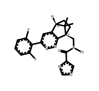 CCN(C[C@@]12CC[C@@H](c3cc(-c4c(F)cccc4F)nnc31)C2(C)C)C(=O)c1cocn1